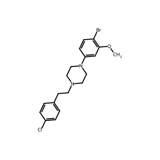 COc1cc(N2CCN(CCc3ccc(Cl)cc3)CC2)ccc1Br